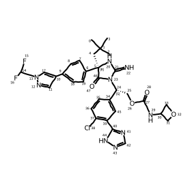 CC(C)(C)C[C@]1(c2ccc(-c3cnn(C(F)F)c3)cc2)NC(=N)N([C@H](COC(=O)NC2COC2)c2ccc(Cl)c(-c3ncn[nH]3)c2)C1=O